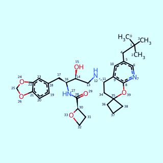 CC(C)(C)Cc1cnc2c(c1)[C@@H](NC[C@H](O)[C@H](Cc1ccc3c(c1)OCO3)NC(=O)[C@H]1CCO1)CC1(CCC1)O2